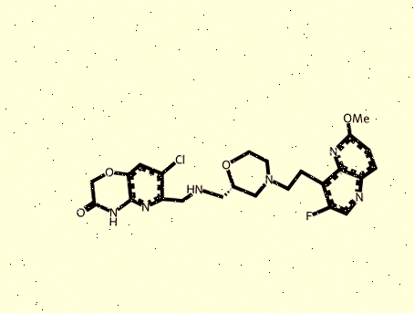 COc1ccc2ncc(F)c(CCN3CCO[C@@H](CNCc4nc5c(cc4Cl)OCC(=O)N5)C3)c2n1